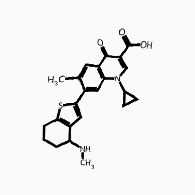 CNC1CCCc2sc(-c3cc4c(cc3C)c(=O)c(C(=O)O)cn4C3CC3)cc21